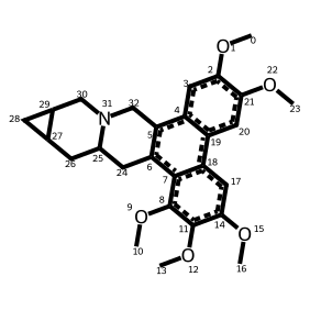 COc1cc2c3c(c4c(OC)c(OC)c(OC)cc4c2cc1OC)CC1CC2CC2CN1C3